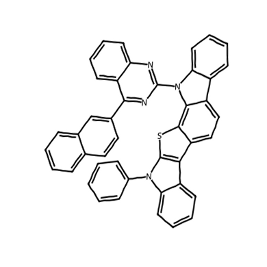 c1ccc(-n2c3ccccc3c3c4ccc5c6ccccc6n(-c6nc(-c7ccc8ccccc8c7)c7ccccc7n6)c5c4sc32)cc1